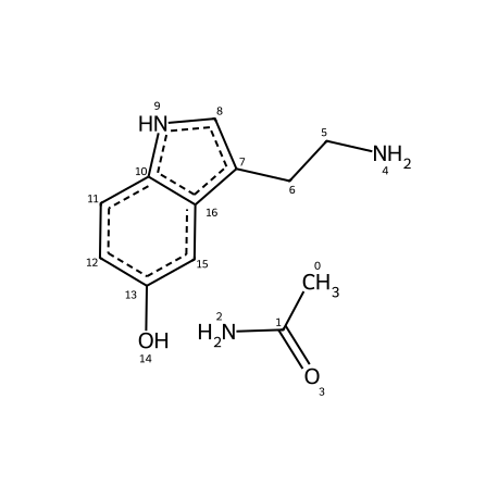 CC(N)=O.NCCc1c[nH]c2ccc(O)cc12